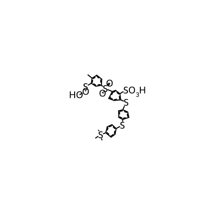 Cc1ccc(S(=O)(=O)c2ccc(Sc3ccc(Sc4ccc(S(C)(C)C)cc4)cc3)c(S(=O)(=O)O)c2)cc1SOO